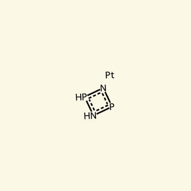 [Pt].n1p[nH][pH]1